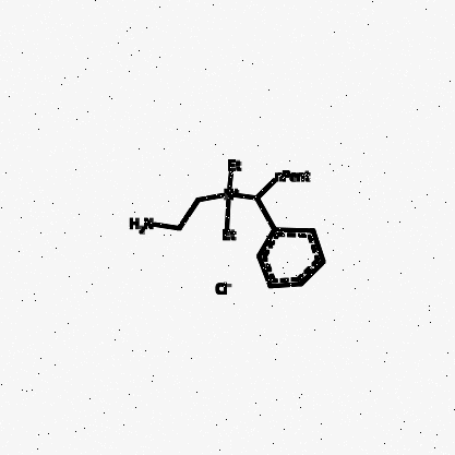 CCCCCC(c1ccccc1)[N+](CC)(CC)CCN.[Cl-]